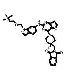 C[Si](C)(C)CCOCn1ncc2ccc(Nc3nc(N4CCC(F)(CN5C(=O)c6ccccc6C5=O)CC4)c4occc4n3)cc21